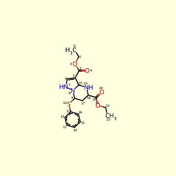 CCOC(=O)C1=CNN2C(Sc3ccccc3)CC(C(=O)OCC)NC12